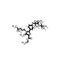 CCOC(=O)c1nc(-c2ccc(SC(C)(C)C(=O)OC(C)(C)C)cc2)n(CCCC(C)C)c1C